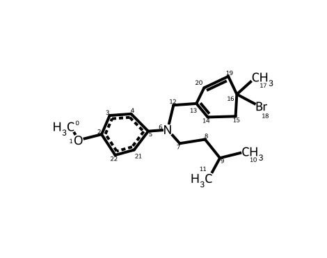 COc1ccc(N(CCC(C)C)CC2=CCC(C)(Br)C=C2)cc1